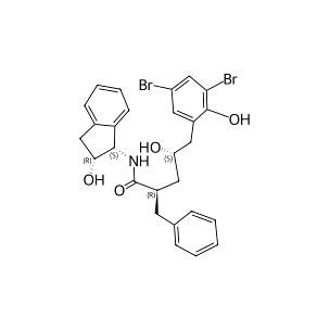 O=C(N[C@H]1c2ccccc2C[C@H]1O)[C@H](Cc1ccccc1)C[C@H](O)Cc1cc(Br)cc(Br)c1O